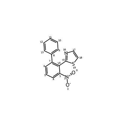 O=[N+]([O-])c1cccc(-c2ccccc2)c1-c1nccs1